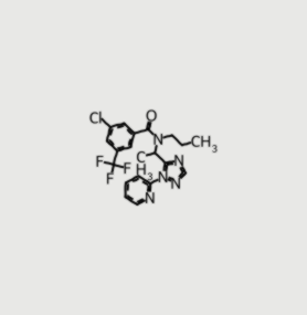 CCCN(C(=O)c1cc(Cl)cc(C(F)(F)F)c1)C(C)c1ncnn1-c1ccccn1